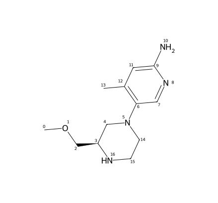 COC[C@H]1CN(c2cnc(N)cc2C)CCN1